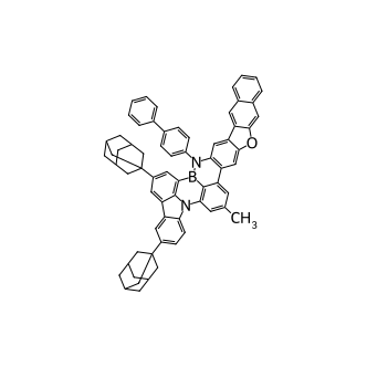 Cc1cc2c3c(c1)-n1c4ccc(C56CC7CC(CC(C7)C5)C6)cc4c4cc(C56CC7CC(CC(C7)C5)C6)cc(c41)B3N(c1ccc(-c3ccccc3)cc1)c1cc3c(cc1-2)oc1cc2ccccc2cc13